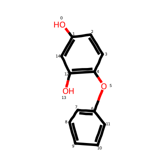 Oc1ccc(Oc2ccccc2)c(O)c1